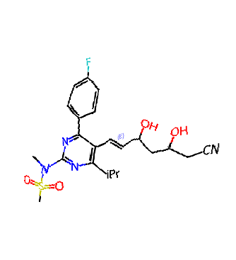 CC(C)c1nc(N(C)S(C)(=O)=O)nc(-c2ccc(F)cc2)c1/C=C/C(O)CC(O)CC#N